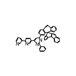 C1=Cc2ccc(-c3cc(-c4ccc(-c5cccnc5)nc4)nc(-c4ccccc4)n3)cc2C2(c3ccccc31)c1ccccc1-c1c2ccc2ccccc12